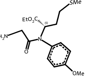 CCOC(=O)[C@H](CCSC)N(C(=O)CN)c1ccc(OC)cc1